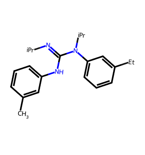 CCc1cccc(N(C(=NC(C)C)Nc2cccc(C)c2)C(C)C)c1